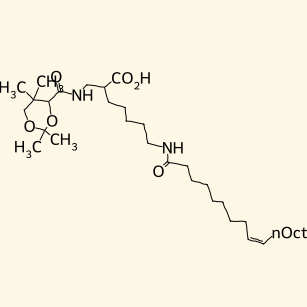 CCCCCCCC/C=C\CCCCCCCC(=O)NCCCCCC(CNC(=O)C1OC(C)(C)OCC1(C)C)C(=O)O